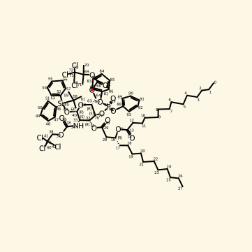 CCCCCCCCCCCCCC(=O)O[C@H](CCCCCCCCCCC)CC(=O)O[C@@H]1[C@H](NC(=O)OCC(Cl)(Cl)Cl)[C@@H](O[Si](c2ccccc2)(c2ccccc2)C(C)(C)C)O[C@H](COC(=O)OC(C)(C)C(Cl)(Cl)Cl)[C@H]1OP(=O)(Oc1ccccc1)Oc1ccccc1